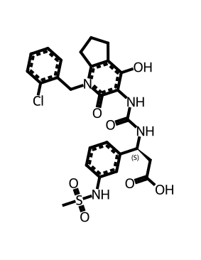 CS(=O)(=O)Nc1cccc([C@H](CC(=O)O)NC(=O)Nc2c(O)c3c(n(Cc4ccccc4Cl)c2=O)CCC3)c1